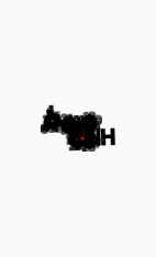 Cc1cc(C)cc(C2=CC3c4ccccc4[C@@H](c4ccccc4C4=CC=CCN4)N3C=C2)c1